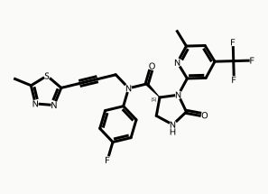 Cc1cc(C(F)(F)F)cc(N2C(=O)NC[C@H]2C(=O)N(CC#Cc2nnc(C)s2)c2ccc(F)cc2)n1